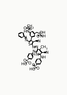 Cc1c(C#N)c(Nc2ccc(S(=O)(=O)O)cc2)nc(Nc2ccc(S(=O)(=O)O)cc2)c1N=Nc1sc(N=Nc2ccccc2)c(-c2cc(CS(=N)(=O)O)cc(NS(C)(=O)=O)c2)c1C#N